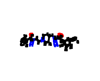 O=C(NCC1CCN(CCNC(=O)C2(C(F)(F)F)CC2)CC1)c1cccc(C(F)(F)F)c1